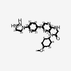 COC1CCC(N2C(=O)CNc3ncc(-c4ccc(N5C=CNN5)nc4)nc32)CC1